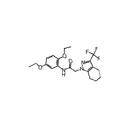 CCOc1ccc(OCC)c(NC(=O)Cn2nc(C(F)(F)F)c3c2CCCC3)c1